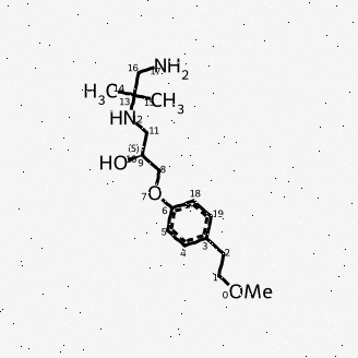 COCCc1ccc(OC[C@@H](O)CNC(C)(C)CN)cc1